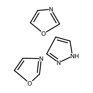 c1cn[nH]c1.c1cocn1.c1cocn1